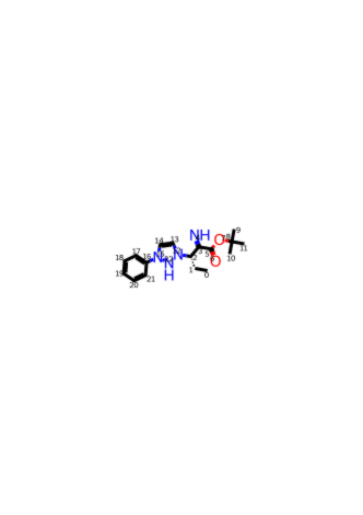 CC[C@@H](C(=N)C(=O)OC(C)(C)C)N1C=CN(c2ccccc2)N1